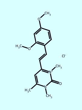 COc1ccc(C=Cc2cc(C)n(C)c(=O)[n+]2C)c(OC)c1.[Cl-]